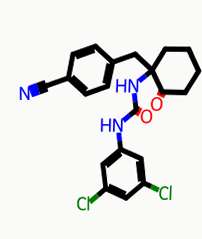 N#Cc1ccc(CC2(NC(=O)Nc3cc(Cl)cc(Cl)c3)CCCCC2=O)cc1